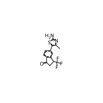 Cc1nc(N)sc1-c1ccc2c(c1)C(C(F)(F)F)CC2=O